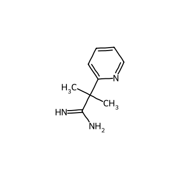 CC(C)(C(=N)N)c1ccccn1